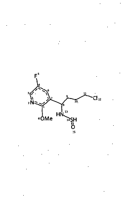 COc1ncc(F)cc1C(CCCCl)N[SH]=O